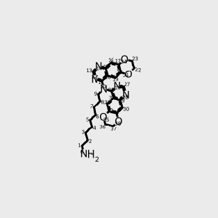 NCCCCCCCCCN(c1ncnc2cc3c(cc12)OCCO3)c1ncnc2cc3c(cc12)OCCO3